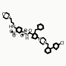 O=C(NS(=O)(=O)c1ccc(NCCCN2CCOCC2)c([N+](=O)[O-])c1)c1ccc(N2CCN(Cc3ccccc3-c3ccc(Cl)cc3)CC2)cc1Cc1ccccc1